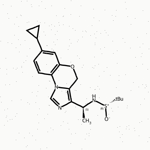 C[C@H](N[S@@+]([O-])C(C)(C)C)c1ncn2c1COc1cc(C3CC3)ccc1-2